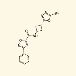 CC(C)c1nnc([C@H]2C[C@H](NC(=O)c3cc(-c4ccccc4)no3)C2)o1